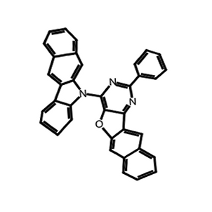 c1ccc(-c2nc(-n3c4ccccc4c4cc5ccccc5cc43)c3oc4cc5ccccc5cc4c3n2)cc1